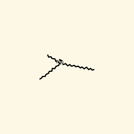 CCCCCCCCCCCCCCCCN1C=CN(CCCCCC)C1CCCCCCCCCCCC